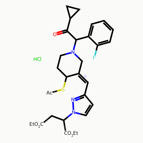 CCOC(=O)CC(C(=O)OCC)n1ccc(/C=C2/CN(C(C(=O)C3CC3)c3ccccc3F)CCC2SC(C)=O)n1.Cl